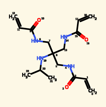 C=CC(=O)NCC(CNC(=O)C=C)(CNC(=O)C=C)NC(C)C